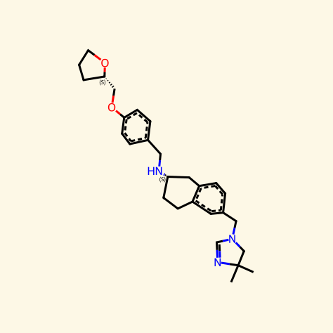 CC1(C)CN(Cc2ccc3c(c2)CC[C@H](NCc2ccc(OC[C@@H]4CCCO4)cc2)C3)C=N1